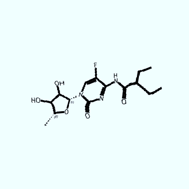 CCC(CC)C(=O)Nc1nc(=O)n([C@@H]2O[C@H](C)C(O)C2O)cc1F